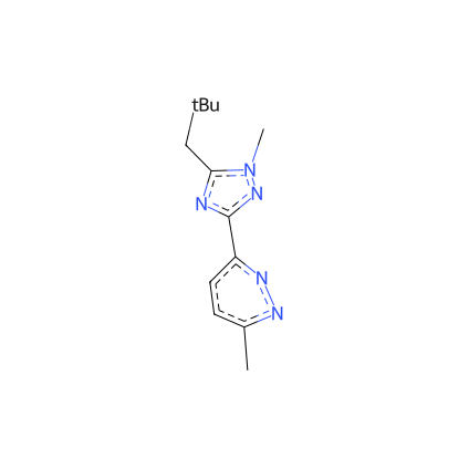 Cc1ccc(-c2nc(CC(C)(C)C)n(C)n2)nn1